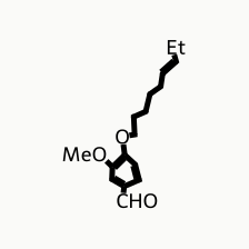 CCC=CCCCCCOc1ccc(C=O)cc1OC